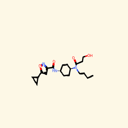 CCCCN(C(=O)CCO)[C@H]1CC[C@H](NC(=O)c2cc(C3CC3)on2)CC1